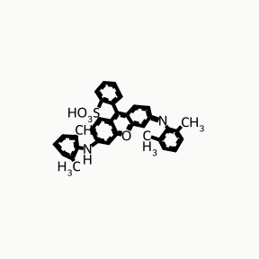 Cc1cccc(C)c1N=c1ccc2c(-c3ccccc3S(=O)(=O)O)c3ccc(Nc4c(C)cccc4C)cc3oc-2c1